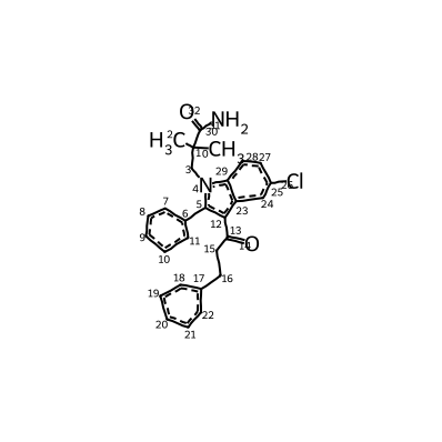 CC(C)(Cn1c(-c2ccccc2)c(C(=O)CCc2ccccc2)c2cc(Cl)ccc21)C(N)=O